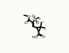 COC(=O)C(=CC1C(C(=O)O)C1(C)C)S(C)(=O)=O